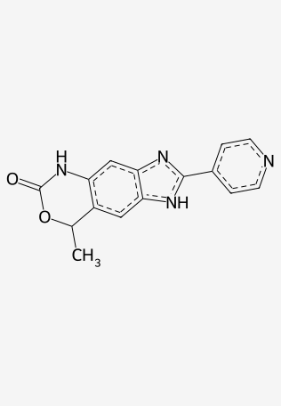 CC1OC(=O)Nc2cc3nc(-c4ccncc4)[nH]c3cc21